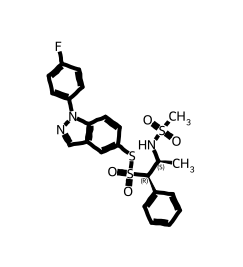 C[C@H](NS(C)(=O)=O)[C@@H](c1ccccc1)S(=O)(=O)Sc1ccc2c(cnn2-c2ccc(F)cc2)c1